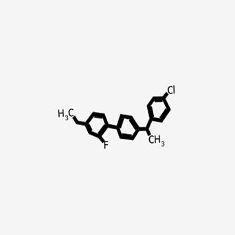 CCc1ccc(-c2ccc(C(C)c3ccc(Cl)cc3)cc2)c(F)c1